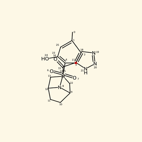 Cc1ccc(S(=O)(=O)N2C3CCC2CN(C(=O)c2cnn[nH]2)C3)c(O)c1